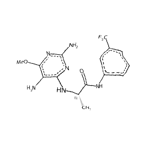 COc1nc(N)nc(N[C@@H](C)C(=O)Nc2cccc(C(F)(F)F)c2)c1N